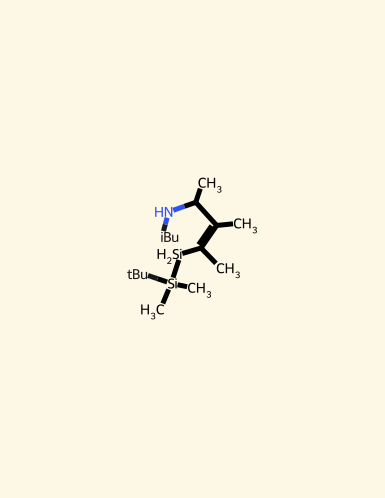 CCC(C)NC(C)C(C)=C(C)[SiH2][Si](C)(C)C(C)(C)C